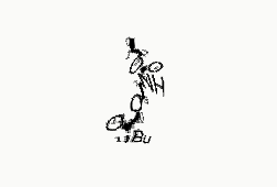 C=CCOC(=O)NCCOCC(=O)C(C)CC